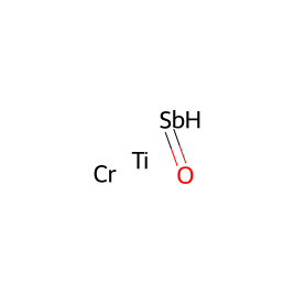 [Cr].[O]=[SbH].[Ti]